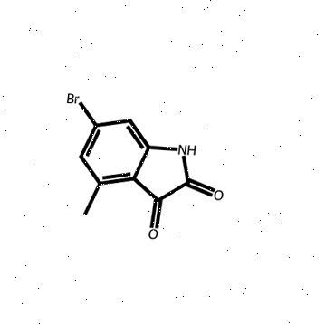 Cc1cc(Br)cc2c1C(=O)C(=O)N2